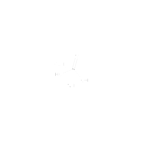 N.O=C(O)O.[CaH2]